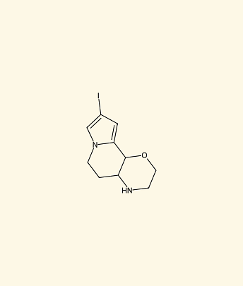 Ic1cc2n(c1)CCC1NCCOC21